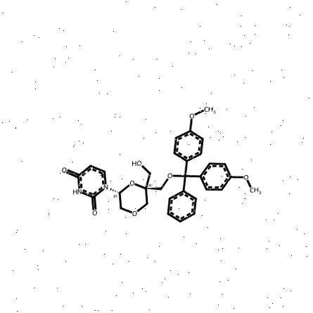 COc1ccc(C(OC[C@@]2(CO)COC[C@H](n3ccc(=O)[nH]c3=O)O2)(c2ccccc2)c2ccc(OC)cc2)cc1